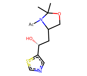 CC(=O)N1C(C[C@@H](O)c2cncs2)COC1(C)C